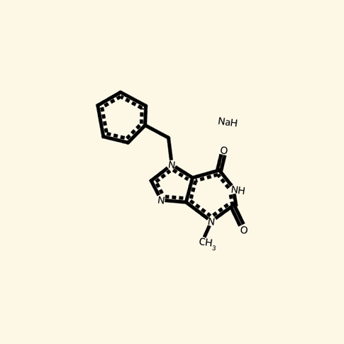 Cn1c(=O)[nH]c(=O)c2c1ncn2Cc1ccccc1.[NaH]